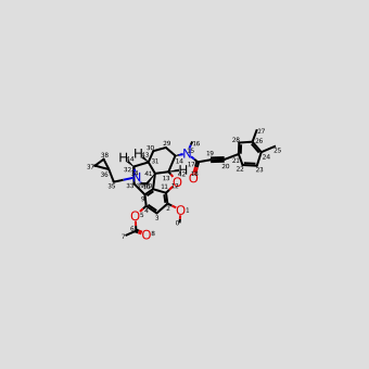 COc1cc(OC(C)=O)c2c3c1O[C@H]1[C@H](N(C)C(=O)C#Cc4ccc(C)c(C)c4)CC[C@H]4[C@@H](C2)N(CC2CC2)CC[C@@]341